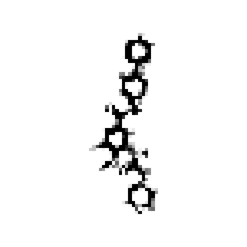 COc1c(F)cc(C(=O)Nc2ccc(-c3ccccc3)cc2)cc1NC(=O)CN1CCOCC1